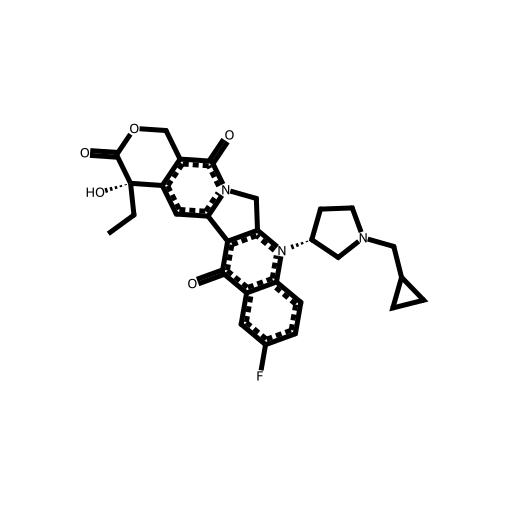 CC[C@@]1(O)C(=O)OCc2c1cc1n(c2=O)Cc2c-1c(=O)c1cc(F)ccc1n2[C@@H]1CCN(CC2CC2)C1